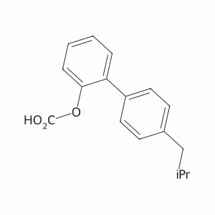 CC(C)Cc1ccc(-c2ccccc2OC(=O)O)cc1